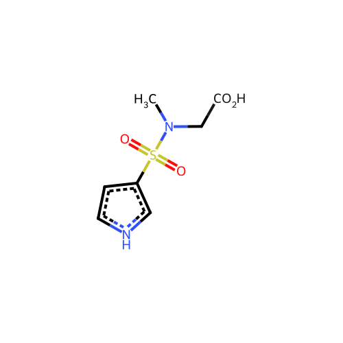 CN(CC(=O)O)S(=O)(=O)c1cc[nH]c1